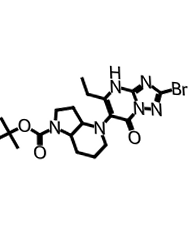 CCc1[nH]c2nc(Br)nn2c(=O)c1N1CCCC2C1CCN2C(=O)OC(C)(C)C